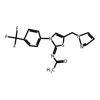 CC(=O)N=c1sc(Cn2cccn2)cn1-c1ccc(C(F)(F)F)cc1